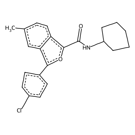 Cc1ccc2c(C(=O)NC3CCCCC3)oc(-c3ccc(Cl)cc3)c2c1